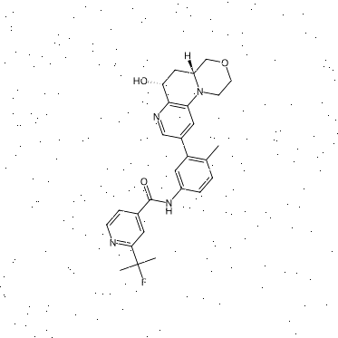 Cc1ccc(NC(=O)c2ccnc(C(C)(C)F)c2)cc1-c1cnc2c(c1)N1CCOC[C@H]1C[C@H]2O